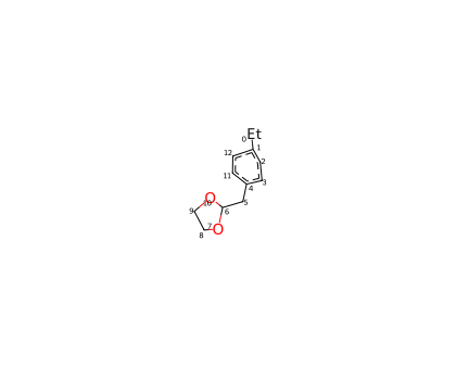 CCc1ccc(CC2OCCO2)cc1